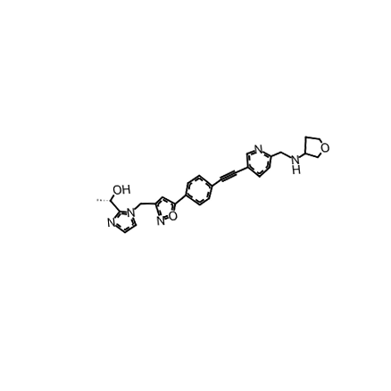 C[C@H](O)c1nccn1Cc1cc(-c2ccc(C#Cc3ccc(CNC4CCOC4)nc3)cc2)on1